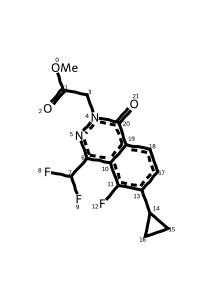 COC(=O)Cn1nc(C(F)F)c2c(F)c(C3CC3)ccc2c1=O